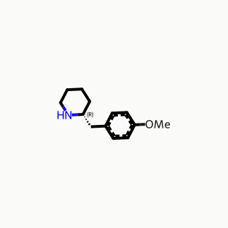 COc1ccc(C[C@H]2CCCCN2)cc1